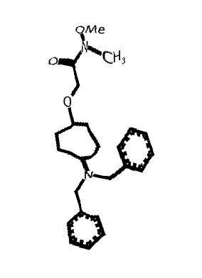 CON(C)C(=O)COC1CCC(N(Cc2ccccc2)Cc2ccccc2)CC1